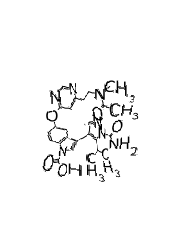 CC(=O)N(C)CCc1cc(Oc2ccc3c(c2)c(-c2[c]nn(C(N)=O)c2C(C)C)cn3C(=O)O)ncn1